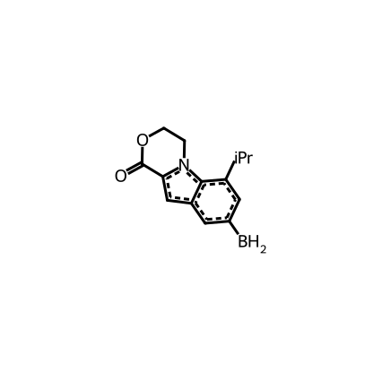 Bc1cc(C(C)C)c2c(c1)cc1n2CCOC1=O